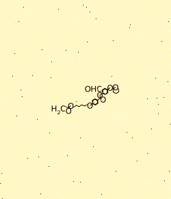 C=CC(=O)OCCCCCCOc1ccc(C(=O)Oc2ccc(OC3CCCCO3)cc2C=O)cc1